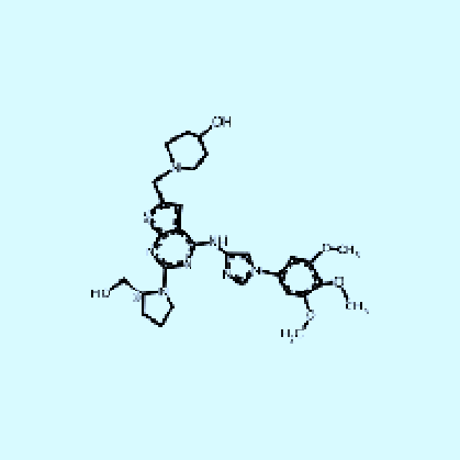 COc1cc(-n2cnc(Nc3nc(N4CCC[C@H]4CO)nc4sc(CN5CCC(O)CC5)cc34)c2)cc(OC)c1OC